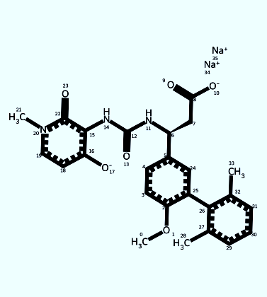 COc1ccc([C@H](CC(=O)[O-])NC(=O)Nc2c([O-])ccn(C)c2=O)cc1-c1c(C)cccc1C.[Na+].[Na+]